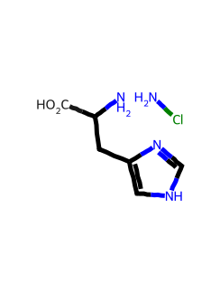 NC(Cc1c[nH]cn1)C(=O)O.NCl